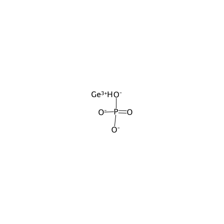 O=P([O-])([O-])[O-].[GeH+3]